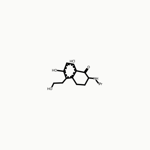 CC(C)NC1CCc2c(ccc(O)c2CCO)C1=O.Cl